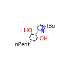 CCCCCc1cc(O)c(-c2ccn(C(C)(C)C)n2)c(O)c1